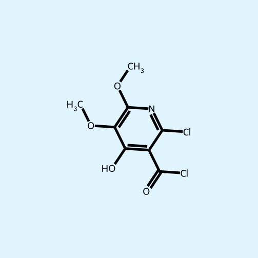 COc1nc(Cl)c(C(=O)Cl)c(O)c1OC